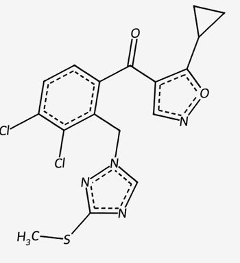 CSc1ncn(Cc2c(C(=O)c3cnoc3C3CC3)ccc(Cl)c2Cl)n1